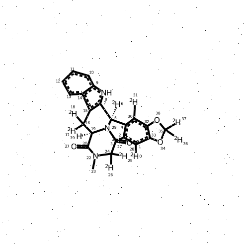 [2H]c1c([2H])c([C@]2([2H])c3[nH]c4ccccc4c3C([2H])([2H])[C@@H]3C(=O)N(C)C([2H])([2H])C(=O)N32)c([2H])c2c1OC([2H])([2H])O2